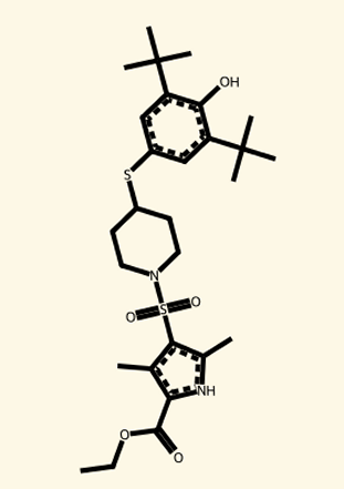 CCOC(=O)c1[nH]c(C)c(S(=O)(=O)N2CCC(Sc3cc(C(C)(C)C)c(O)c(C(C)(C)C)c3)CC2)c1C